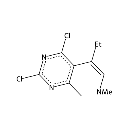 CC/C(=C/NC)c1c(C)nc(Cl)nc1Cl